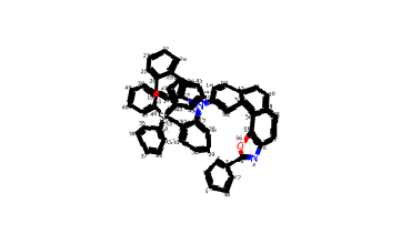 c1ccc(-c2nc3ccc4ccc5ccc(N(c6ccc7ccccc7c6)c6ccccc6[Si](c6ccccc6)(c6ccccc6)c6ccccc6)cc5c4c3o2)cc1